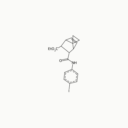 CCOC(=O)C1C(C(=O)Nc2ccc(I)cc2)C2C=CC1C21CC1